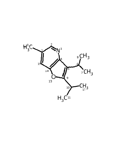 Cc1cnc2c(C(C)C)c(C(C)C)oc2c1